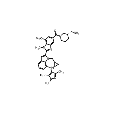 COc1cc(C(=O)N2CCC[C@@H](CN)C2)cc2nc(-c3cc4cccc(Nc5c(C)nn(C)c5C)c4n3CC3CC3)n(C)c12